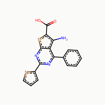 Nc1c(C(=O)O)sc2nc(-c3cccs3)nc(-c3ccccc3)c12